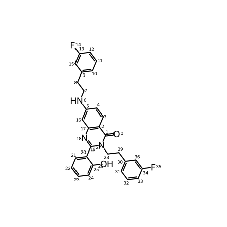 O=c1c2ccc(NCCc3cccc(F)c3)cc2nc(-c2ccccc2O)n1CCc1cccc(F)c1